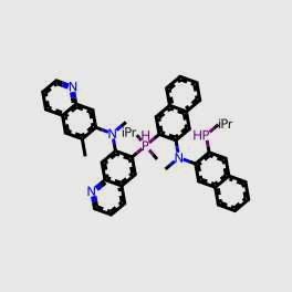 Cc1cc2cccnc2cc1N(C)c1cc2ncccc2cc1[PH](C)(c1cc2ccccc2cc1N(C)c1cc2ccccc2cc1PC(C)C)C(C)C